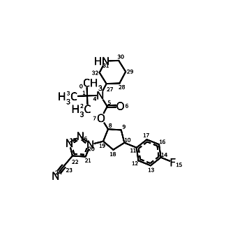 CC(C)(C)N(C(=O)OC1CC(c2ccc(F)cc2)CC1n1cc(C#N)nn1)C1CCCNC1